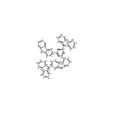 c1ccc2c(c1)oc1ccc(-c3nc(-c4cccc5oc6cc(-n7c8ccccc8c8ccccc87)ccc6c45)nc(-n4c5ccccc5c5ccccc54)n3)cc12